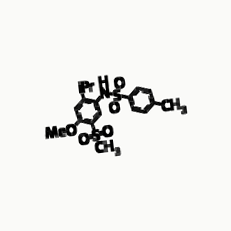 COc1cc(C(C)C)c(NS(=O)(=O)c2ccc(C)cc2)cc1S(C)(=O)=O